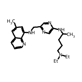 CCN(CC)CCCC(C)Nc1cnc(CNc2cc(C)cc3cccnc23)cn1